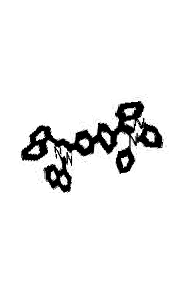 c1ccc(-n2c3ccccc3n3c4ccccc4c(-c4ccc(-c5ccc(-c6cc(-c7cccc8ccccc78)nc(-c7cccc8ccccc78)n6)cc5)cc4)c23)cc1